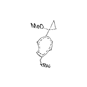 COC1(c2ccc(C(C)(C)C)cc2)CC1